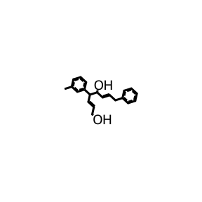 Cc1cccc(C(C=CCO)C(O)C=CCc2ccccc2)c1